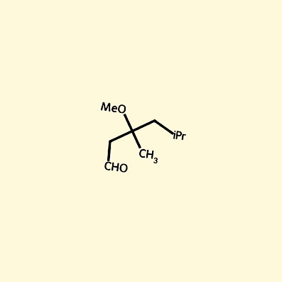 COC(C)(CC=O)CC(C)C